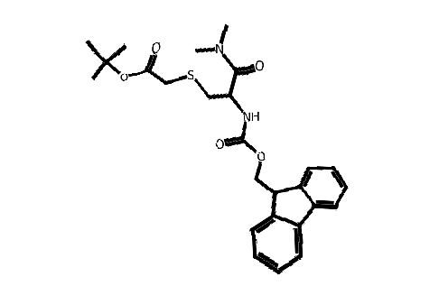 CN(C)C(=O)C(CSCC(=O)OC(C)(C)C)NC(=O)OCC1c2ccccc2-c2ccccc21